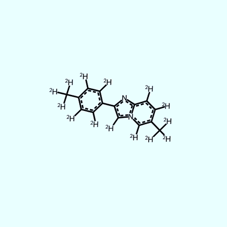 [2H]c1c([2H])c(C([2H])([2H])[2H])c([2H])c([2H])c1-c1nc2c([2H])c([2H])c(C([2H])([2H])[2H])c([2H])n2c1[2H]